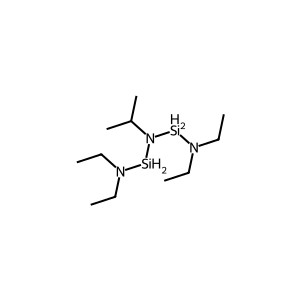 CCN(CC)[SiH2]N([SiH2]N(CC)CC)C(C)C